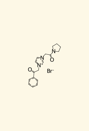 O=C(C[n+]1ccn(CC(=O)N2CCCC2)c1)c1ccccc1.[Br-]